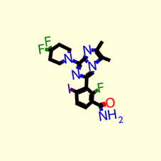 Cc1nc2c(N3CCC(F)(F)CC3)nc(-c3c(I)ccc(C(N)=O)c3F)cn2c1C